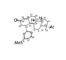 CSc1ccc([C@H]2C[C@@]3(C)[C@@H](CC[C@]3(C)C(C)=O)[C@@H]3CCC4=CC(=O)CCC4=C32)cc1